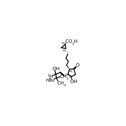 [2H][C@@](O)(C=C[C@H]1[C@H](O)CC(=O)[C@@H]1CCCC[C@@H]1C[C@H]1C(=O)O)C(C)(C)CCCC